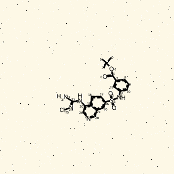 CC(C)(C)OC(=O)c1cccc(NS(=O)(=O)c2ccc3c(NC(N)=NCl)cncc3c2)c1